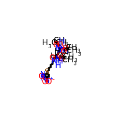 CC(C)(C)OC(=O)N=C(NCCCC(NC(=O)OC(C)(C)C)C(=O)NCCCCCCSc1ccc([N+](=O)[O-])c2nonc12)NC(=O)OC(C)(C)C